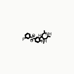 CC1C[C@@H]2c3cc(S(=O)(=O)c4cccc(F)c4)ccc3N(C)[C@@H]2CC(C)N1